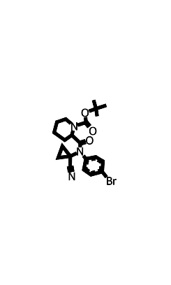 CC(C)(C)OC(=O)N1CCCCC1C(=O)N(c1ccc(Br)cc1)C1(C#N)CC1